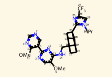 COc1cnc(-c2cncnc2OC)nc1NCC12C3C4C1C1C2C3C41c1nc(C(F)(F)F)cn1C(C)C